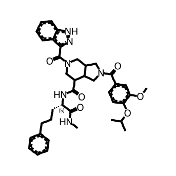 CNC(=O)[C@H](CCCc1ccccc1)NC(=O)C1CN(C(=O)c2n[nH]c3ccccc23)CC2CN(C(=O)c3ccc(OC(C)C)c(OC)c3)CC21